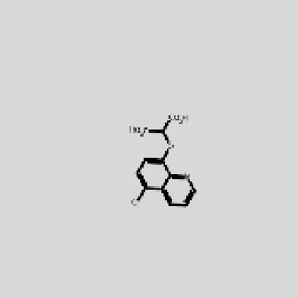 O=C(O)C(Oc1ccc(Cl)c2cccnc12)C(=O)O